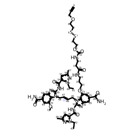 C#CCOCCSSCCOC(=O)NCCC(=O)NCCCOc1cc(C(N)=O)cc2nc(NC(=O)c3cc(C)nn3CC)n(C/C=C/Cn3c(NC(=O)c4cc(C)nn4CC)nc4cc(C(N)=O)cc(OC)c43)c12